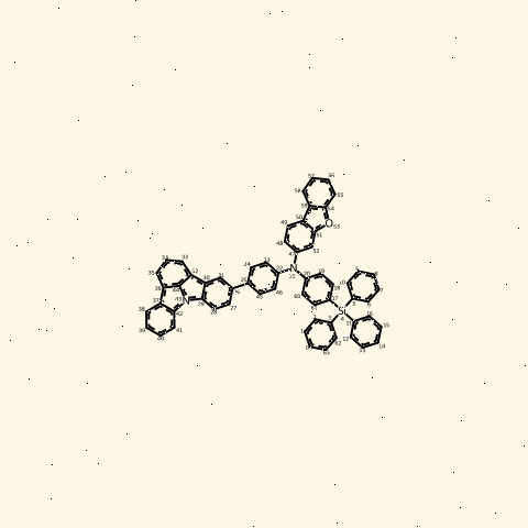 c1ccc([Si](c2ccccc2)(c2ccccc2)c2ccc(N(c3ccc(-c4ccc5c(c4)c4cccc6c7ccccc7n5c64)cc3)c3ccc4c(c3)oc3ccccc34)cc2)cc1